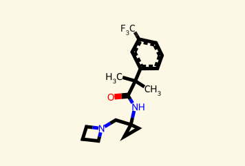 CC(C)(C(=O)NC1(CN2CCC2)CC1)c1cccc(C(F)(F)F)c1